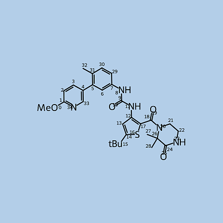 COc1ccc(-c2cc(NC(=O)Nc3cc(C(C)(C)C)sc3C(=O)N3CCNC(=O)C3(C)C)ccc2C)cn1